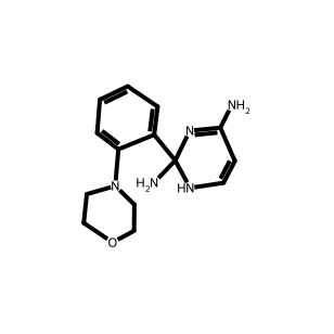 NC1=NC(N)(c2ccccc2N2CCOCC2)NC=C1